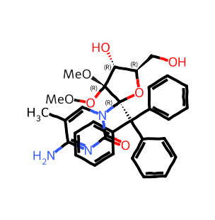 COO[C@]1(OC)[C@H](O)[C@@H](CO)O[C@]1(n1cc(C)c(N)nc1=O)C(c1ccccc1)(c1ccccc1)c1ccccc1